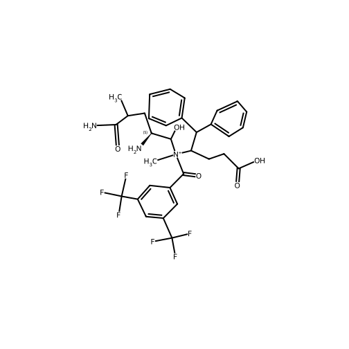 CC(C[C@H](N)C(O)[N+](C)(C(=O)c1cc(C(F)(F)F)cc(C(F)(F)F)c1)C(CCC(=O)O)C(c1ccccc1)c1ccccc1)C(N)=O